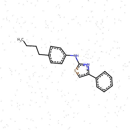 CCCCc1ccc(Nc2nc(-c3ccccc3)cs2)cc1